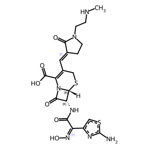 CNCCN1CC/C(=C\C2=C(C(=O)O)N3C(=O)[C@@H](NC(=O)/C(=N\O)c4csc(N)n4)[C@H]3SC2)C1=O